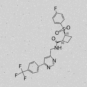 O=C(NCc1cc(-c2ccc(C(F)(F)F)cc2)ncn1)[C@@H]1CC[C@@H]1S(=O)(=O)c1ccc(F)cc1